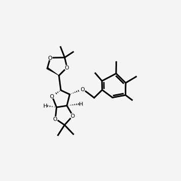 Cc1cc(CO[C@@H]2[C@H]3OC(C)(C)O[C@H]3O[C@@H]2[C@H]2COC(C)(C)O2)c(C)c(C)c1C